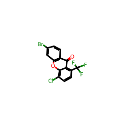 O=c1c2ccc(Br)cc2oc2c(Cl)ccc(C(F)(F)F)c12